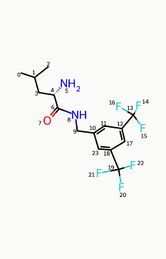 CC(C)C[C@H](N)C(=O)NCc1cc(C(F)(F)F)cc(C(F)(F)F)c1